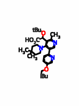 CCC(C)COc1ccc(-c2cnc(C)c([C@H](OC(C)(C)C)C(=O)O)c2N2CCC(C)(C)CC2)nc1